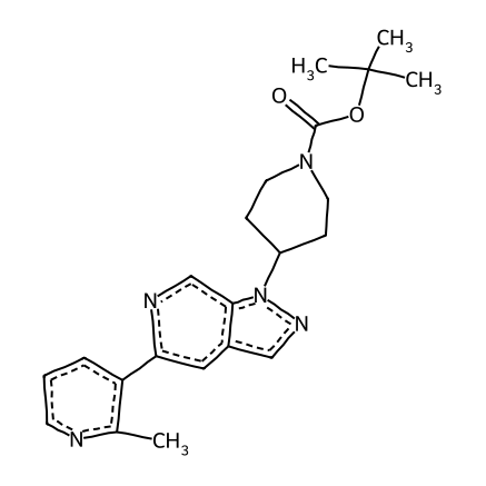 Cc1ncccc1-c1cc2cnn(C3CCN(C(=O)OC(C)(C)C)CC3)c2cn1